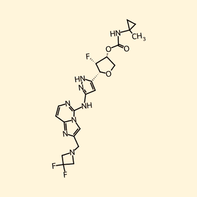 CC1(NC(=O)O[C@@H]2CO[C@H](c3cc(Nc4nccc5nc(CN6CC(F)(F)C6)cn45)n[nH]3)[C@@H]2F)CC1